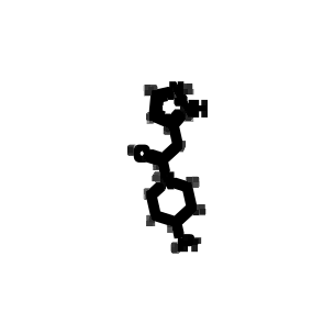 CC(C)C1CCN(C(=O)Cc2ccn[nH]2)CC1